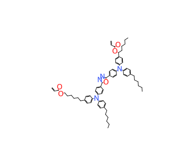 C=CC(=O)OCCCCCCc1ccc(N(c2ccc(CCCCCC)cc2)c2ccc(-c3nnc(-c4ccc(N(c5ccc(CCCCCC)cc5)c5ccc(C(CCCCC)OC(=O)C=C)cc5)cc4)o3)cc2)cc1